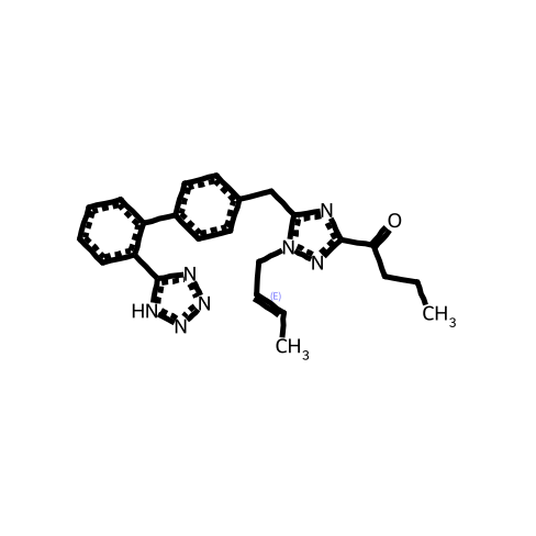 C/C=C/Cn1nc(C(=O)CCC)nc1Cc1ccc(-c2ccccc2-c2nnn[nH]2)cc1